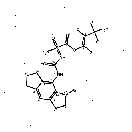 C=C(O/C(C)=C(\C)C(C)(C)O)S(N)(=O)=NC(=O)Nc1c2c(cc3c1C(C)CC3)CCC2